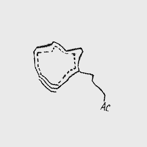 CC(=O)Cc1c#cccc1